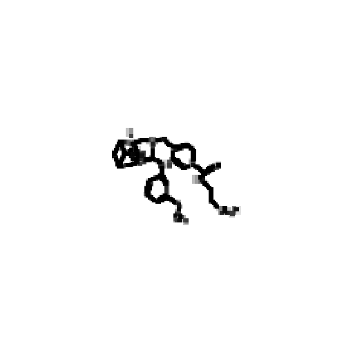 CC1(C)C2CC[C@H](CN(Cc3ccc(C(=O)NCCC(=O)O)cc3)C(=O)Nc3cccc(SC(F)(F)F)c3)C1C2